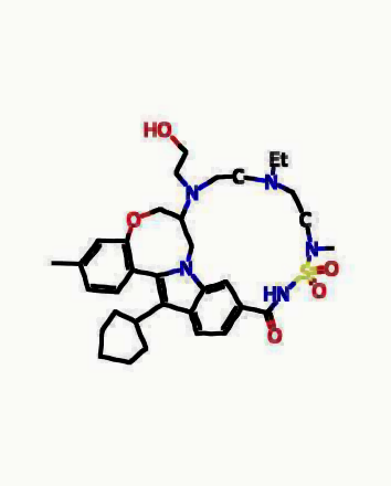 CCN1CCN(CCO)C2COc3cc(C)ccc3-c3c(C4CCCCC4)c4ccc(cc4n3C2)C(=O)NS(=O)(=O)N(C)CC1